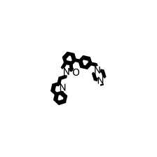 CN1CCN(Cc2ccc(-c3cccc4c3C(=O)N(CCc3ccc5ccccc5n3)C4)cc2)CC1